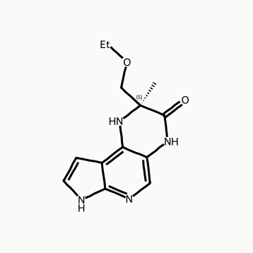 CCOC[C@]1(C)Nc2c(cnc3[nH]ccc23)NC1=O